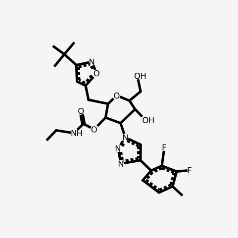 CCNC(=O)OC1C(Cc2cc(C(C)(C)C)no2)OC(CO)C(O)C1n1cc(-c2ccc(C)c(F)c2F)nn1